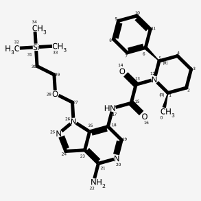 C[C@@H]1CCC[C@H](c2ccccc2)N1C(=O)C(=O)Nc1cnc(N)c2cnn(COCC[Si](C)(C)C)c12